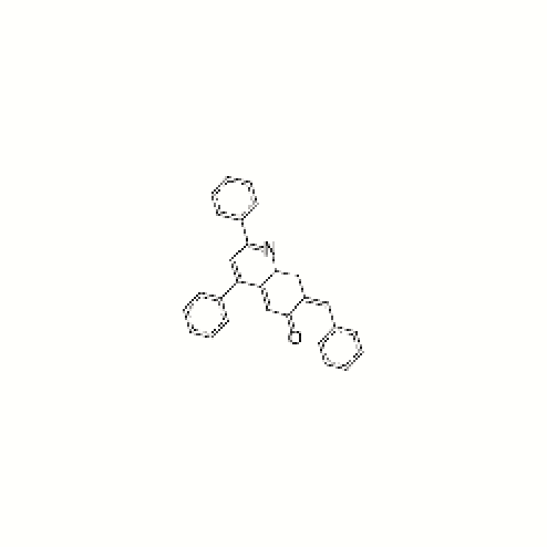 O=C1C=C2C(c3ccccc3)=CC(c3ccccc3)=NC2CC1=Cc1ccccc1